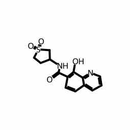 O=C(NC1CCS(=O)(=O)C1)c1ccc2cccnc2c1O